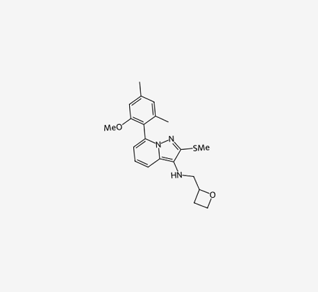 COc1cc(C)cc(C)c1-c1cccc2c(NCC3CCO3)c(SC)nn12